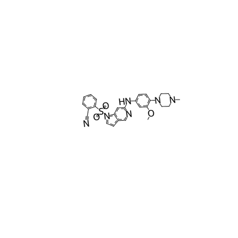 COc1cc(Nc2cc3c(ccn3S(=O)(=O)c3ccccc3C#N)cn2)ccc1N1CCN(C)CC1